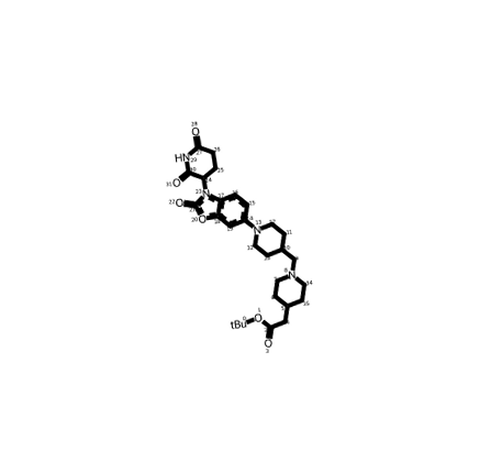 CC(C)(C)OC(=O)CC1CCN(CC2CCN(c3ccc4c(c3)oc(=O)n4C3CCC(=O)NC3=O)CC2)CC1